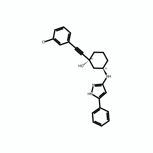 O[C@]1(C#Cc2cccc(Cl)c2)CCC[C@@H](Nc2cc(-c3ccccc3)[nH]n2)C1